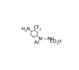 CC(=O)N(CCNC(=O)O)c1ccc(N)c(C(F)(F)F)c1